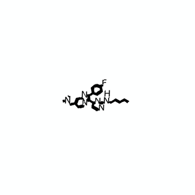 CCCCCNc1nccc(-c2c(-c3ccc(F)cc3)nc3cc(CN(C)C)ccn23)n1